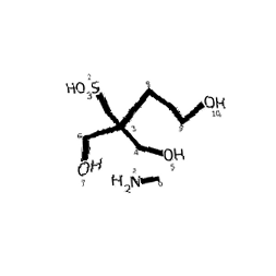 CN.O=S(=O)(O)C(CO)(CO)CCO